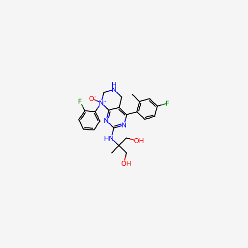 Cc1cc(F)ccc1-c1nc(NC(C)(CO)CO)nc2c1CNC[N+]2([O-])c1ccccc1F